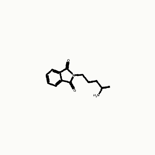 CC(N)CCCN1C(=O)c2ccccc2C1=O